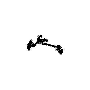 CN(CCCCCCCCCCCCCNc1cccc2c1C(=O)N(C1CCC(=O)NC1=O)C2=O)C(=O)C1CN(C(=O)OC(C)(C)C)CCN1C(=O)C1CN(C(=O)OC(C)(C)C)CCN1C(=O)CCCN(C)c1ccc([C@H]2C[C@]34O[C@H]3CCC4[C@@H]3CCC4=CC(=O)CCC4=C32)cc1